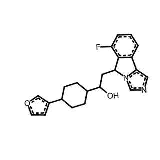 OC(CC1c2c(F)cccc2-c2cncn21)C1CCC(c2ccoc2)CC1